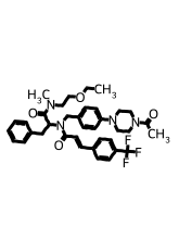 CCOCCN(C)C(=O)C(Cc1ccccc1)N(Cc1ccc(N2CCN(C(C)=O)CC2)cc1)C(=O)C=Cc1ccc(C(F)(F)F)cc1